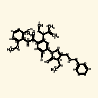 C=C(C)C(CO)c1cc(-n2nc(COCc3ccccc3)n(CC)c2=O)c(F)cc1C(=O)Nc1c(C)ccnc1OC